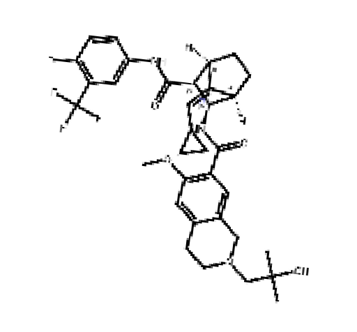 COc1cc2c(cc1C(=O)N[C@H]1[C@@H](C(=O)Nc3ccc(F)c(C(F)(F)F)c3)[C@H]3CC[C@@H]1/C3=C\C1CC1)CN(CC(C)(C)O)CC2